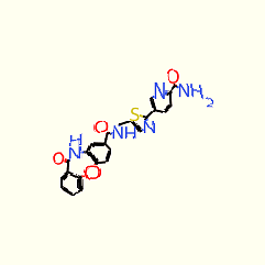 NC(=O)c1ccc(-c2ncc(CNC(=O)c3ccc4c(c3)NC(=O)c3ccccc3O4)s2)cn1